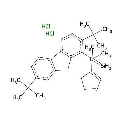 CC(C)(C)c1ccc2c(c1)Cc1c-2ccc(C(C)(C)C)[c]1[Ti]([CH3])([CH3])(=[SiH2])[C]1=CC=CC1.Cl.Cl